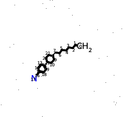 C=CCCCCCC[C@H]1CC[C@H](c2ccc(C#N)cc2)CC1